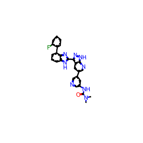 CN(C)C(=O)Nc1cncc(-c2cnc3[nH]nc(-c4nc5c(-c6ccccc6F)cccc5[nH]4)c3c2)c1